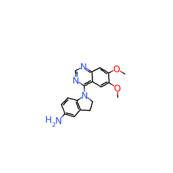 COc1cc2ncnc(N3CCc4cc(N)ccc43)c2cc1OC